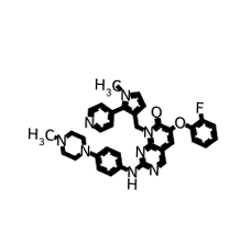 CN1CCN(c2ccc(Nc3ncc4cc(Oc5ccccc5F)c(=O)n(Cc5ccn(C)c5-c5ccncc5)c4n3)cc2)CC1